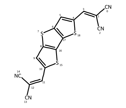 N#CC(C#N)=Cc1cc2sc3cc(C=C(C#N)C#N)sc3c2s1